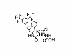 N=C(CN1CC(=O)NC(COCc2cc(C(F)(F)F)cc(C(F)(F)F)c2)C1c1ccccc1)NNC(=O)O